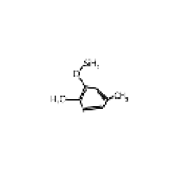 Cc1ccc(C)c(O[SiH3])c1